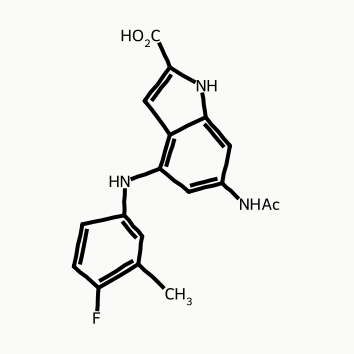 CC(=O)Nc1cc(Nc2ccc(F)c(C)c2)c2cc(C(=O)O)[nH]c2c1